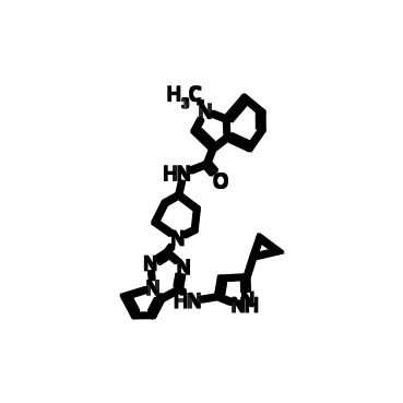 Cn1cc(C(=O)NC2CCN(c3nc(Nc4cc(C5CC5)n[nH]4)c4cccn4n3)CC2)c2ccccc21